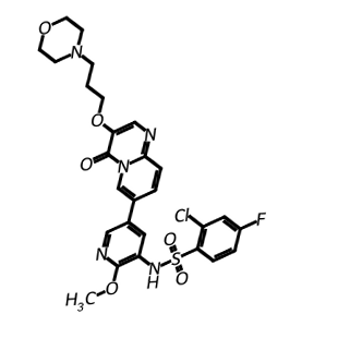 COc1ncc(-c2ccc3ncc(OCCCN4CCOCC4)c(=O)n3c2)cc1NS(=O)(=O)c1ccc(F)cc1Cl